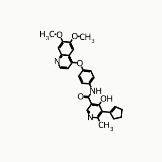 COc1cc2nccc(Oc3ccc(NC(=O)c4cnc(C)c(C5=CCCC5)c4O)cc3)c2cc1OC